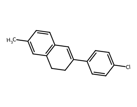 Cc1ccc2c(c1)CCC(c1ccc(Cl)cc1)=C2